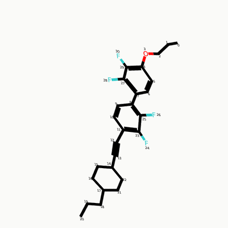 CCCOc1ccc(-c2ccc(C#CC3CCC(CCC)CC3)c(F)c2F)c(F)c1F